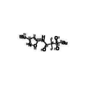 CCC(C)S(=O)(=O)C(C)(C)C(=O)Nc1cc(C(C)(C)C)no1